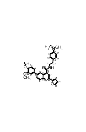 COc1ccc(-c2ccc3nc(-c4ccco4)cc(C(=O)NCCc4ccc(N(C)C)cc4)c3c2)cc1OC